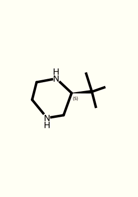 CC(C)(C)[C@H]1CNCCN1